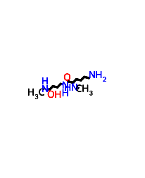 CNC(O)CCCNC(=O)C(CCCCN)NC